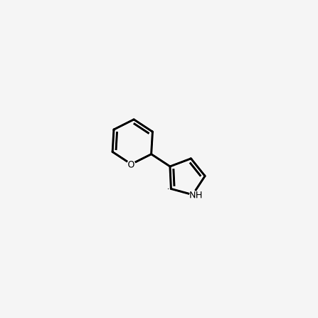 [c]1[nH]ccc1C1C=CC=CO1